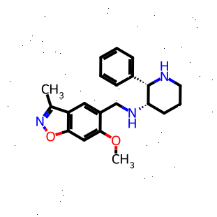 COc1cc2onc(C)c2cc1CN[C@H]1CCCN[C@H]1c1ccccc1